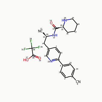 N#Cc1ccc(-c2ccc(C[C@@H](C#N)NC(=O)[C@@H]3CCCCN3)cn2)cc1.O=C(O)C(F)(F)F